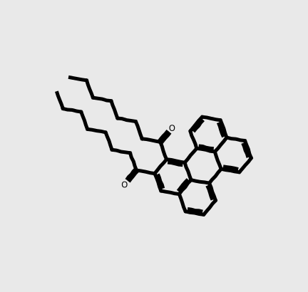 CCCCCCCC(=O)c1cc2cccc3c4cccc5cccc(c(c1C(=O)CCCCCCC)c23)c54